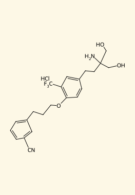 Cl.N#Cc1cccc(CCCOc2ccc(CCC(N)(CO)CO)cc2C(F)(F)F)c1